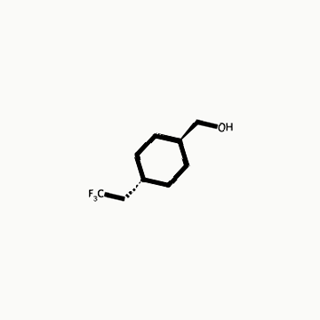 OC[C@H]1CC[C@H](CC(F)(F)F)CC1